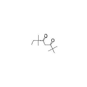 CCC(C)(C)C(=O)CC(=O)C(C)(C)C